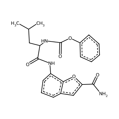 CC(C)CC(NC(=O)Oc1ccccc1)C(=O)Nc1cccc2cc(C(N)=O)oc12